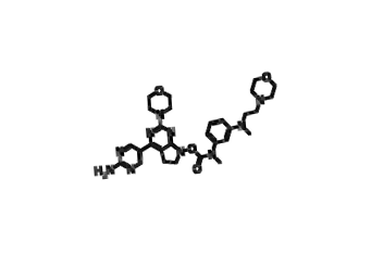 CN(CCN1CCOCC1)c1cccc(N(C)C(=O)ON2CCc3c(-c4cnc(N)nc4)nc(N4CCOCC4)nc32)c1